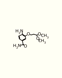 COC(CCOc1cc(C(N)=O)ccc1N)OC